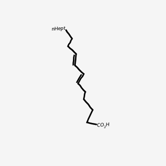 CCCCCCCCCC=CC=CCCCCC(=O)O